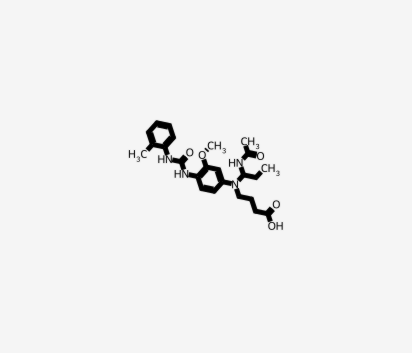 CCC(NC(C)=O)N(CCCC(=O)O)c1ccc(NC(=O)Nc2ccccc2C)c(OC)c1